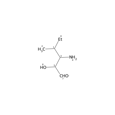 CCC(C)C(N)C(O)[C]=O